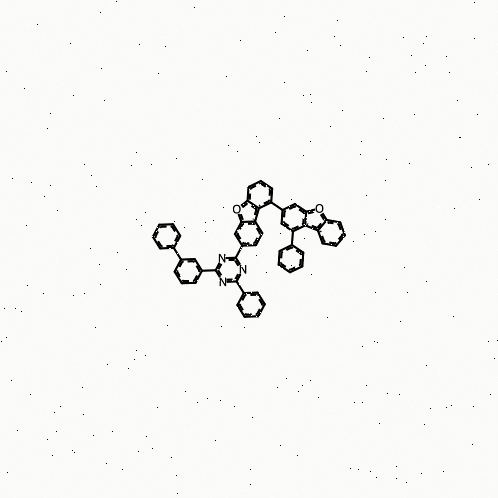 c1ccc(-c2cccc(-c3nc(-c4ccccc4)nc(-c4ccc5c(c4)oc4cccc(-c6cc(-c7ccccc7)c7c(c6)oc6ccccc67)c45)n3)c2)cc1